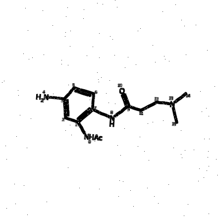 CC(=O)Nc1cc(N)ccc1NC(=O)CCN(C)C